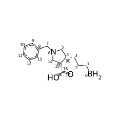 BCCC[C@H]1CN(Cc2ccccc2)C[C@H]1C(=O)O